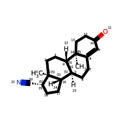 C[C@]12CC[C@H]3[C@@H](CCC4=CC(=O)CC[C@@]43C)[C@@H]1CC[C@@H]2C#N